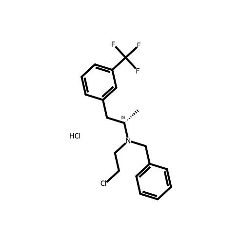 C[C@@H](Cc1cccc(C(F)(F)F)c1)N(CCCl)Cc1ccccc1.Cl